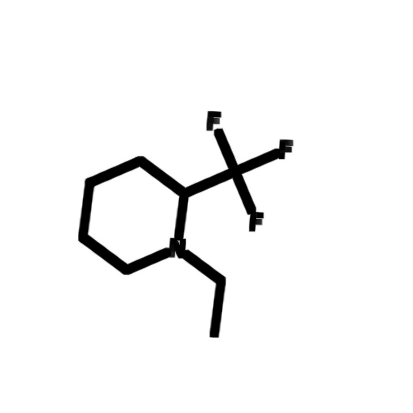 CCN1CCCCC1C(F)(F)F